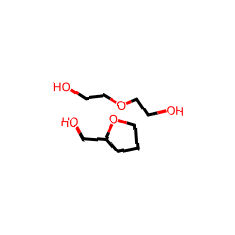 OCC1CCCO1.OCCOCCO